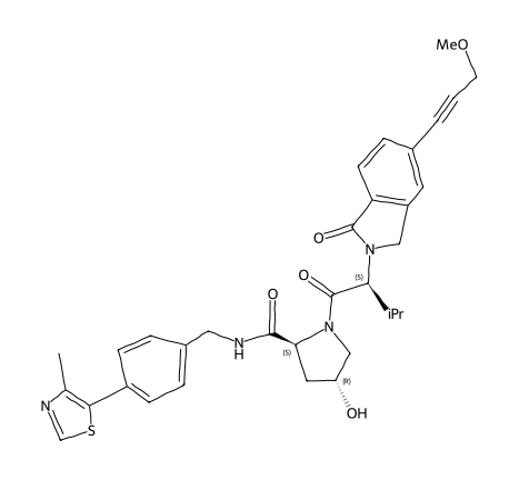 COCC#Cc1ccc2c(c1)CN([C@H](C(=O)N1C[C@H](O)C[C@H]1C(=O)NCc1ccc(-c3scnc3C)cc1)C(C)C)C2=O